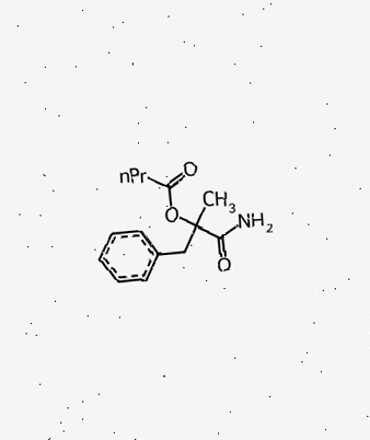 CCCC(=O)OC(C)(Cc1ccccc1)C(N)=O